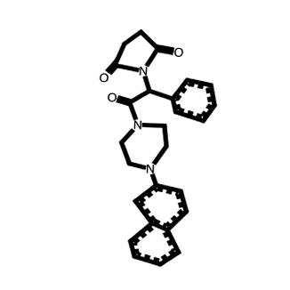 O=C(C(c1ccccc1)N1C(=O)CCC1=O)N1CCN(c2ccc3ccccc3c2)CC1